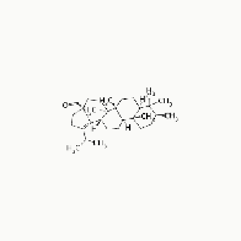 CC(C)C1=C2[C@H]3CC[C@@H]4[C@@]5(C)CC[C@H](C)C(C)(C)[C@@H]5CC[C@@]4(C)[C@]3(C)CC[C@@]2(C=O)CC1